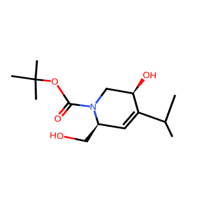 CC(C)C1=C[C@@H](CO)N(C(=O)OC(C)(C)C)C[C@H]1O